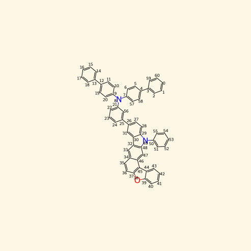 c1ccc(-c2ccc(N(c3ccc(-c4ccccc4)cc3)c3cccc(-c4ccc5c(c4)c4cc6ccc7oc8ccccc8c7c6cc4n5-c4ccccc4)c3)cc2)cc1